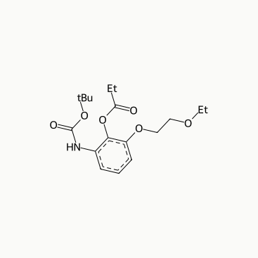 CCOCCOc1cccc(NC(=O)OC(C)(C)C)c1OC(=O)CC